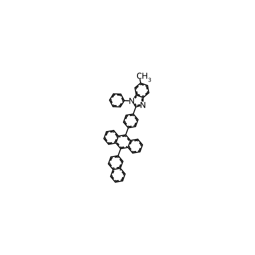 Cc1ccc2nc(-c3ccc(-c4c5ccccc5c(-c5ccc6ccccc6c5)c5ccccc45)cc3)n(-c3ccccc3)c2c1